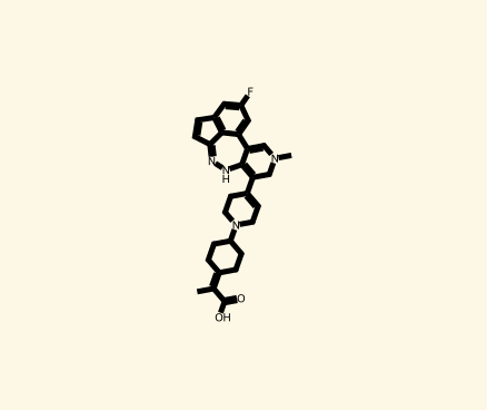 CC(C(=O)O)=C1CCC(N2CC=C(C3=C4NN=C5C=Cc6cc(F)cc(c65)C4=CN(C)C3)CC2)CC1